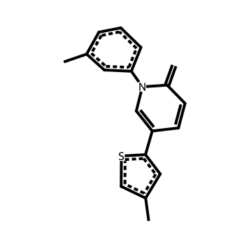 C=C1C=CC(c2cc(C)cs2)=CN1c1cccc(C)c1